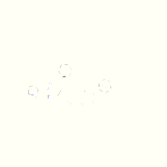 CCOC(=O)C1=C(CN2CC[C@@H]3C(=O)N(c4ccc(C(C)CC(=O)O)cc4)CC3C2)NC(c2nccs2)=N[C@H]1c1cccc(F)c1C